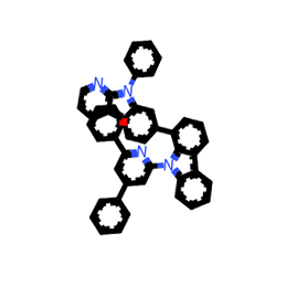 c1ccc(-c2cc(-c3ccccc3)nc(-n3c4ccccc4c4cccc(-c5ccc6c7cccnc7n(-c7ccccc7)c6c5)c43)c2)cc1